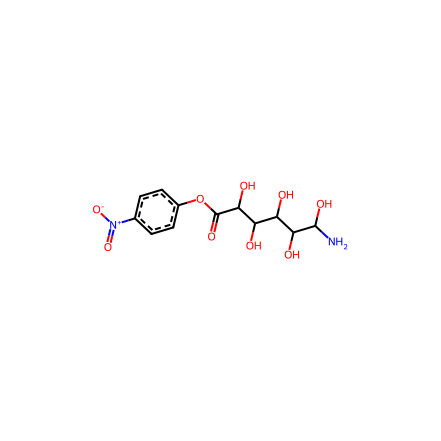 NC(O)C(O)C(O)C(O)C(O)C(=O)Oc1ccc([N+](=O)[O-])cc1